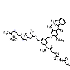 C=C(/C=C\CC/C=N\C(C)=C\C(=C)OCc1cc(COc2cc3c(cc2OC)C(=O)N2c4ccccc4C[C@H]2CN3)cc(N(C)C(=O)CNC(=O)CNC(=O)CNC)c1)NOC